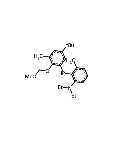 CCN(CC)c1cccc(C)c1Pc1cc(C(C)(C)C)cc(C)c1OCOC